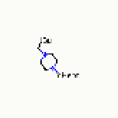 CCCCCCCN1CCN(CC(C)CC)CC1